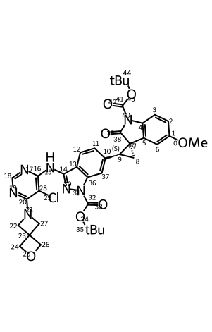 COc1ccc2c(c1)[C@]1(C[C@H]1c1ccc3c(Nc4ncnc(N5CC6(COC6)C5)c4Cl)nn(C(=O)OC(C)(C)C)c3c1)C(=O)N2C(=O)OC(C)(C)C